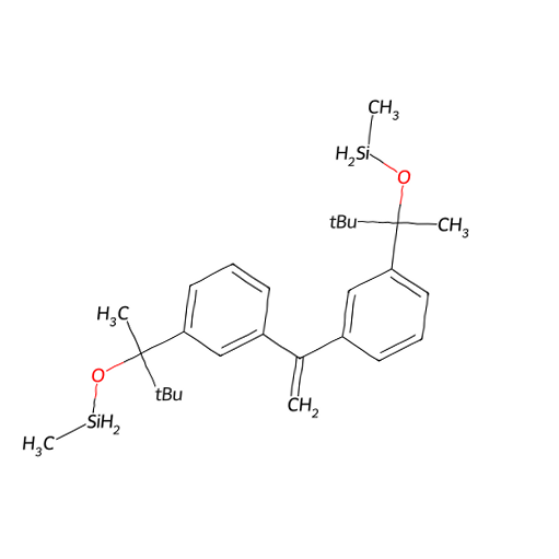 C=C(c1cccc(C(C)(O[SiH2]C)C(C)(C)C)c1)c1cccc(C(C)(O[SiH2]C)C(C)(C)C)c1